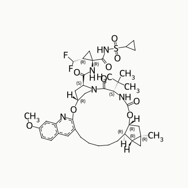 COc1ccc2cc3c(nc2c1)O[C@@H]1C[C@@H](C(=O)N[C@]2(C(=O)NS(=O)(=O)C4CC4)C[C@H]2C(F)F)N(C1)C(=O)[C@H](C(C)(C)C)NC(=O)O[C@@H]1C[C@@]2(C)C[C@@H]2[C@H]1CCCCC3